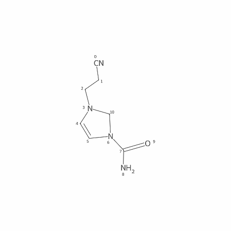 N#CCCN1C=CN(C(N)=O)C1